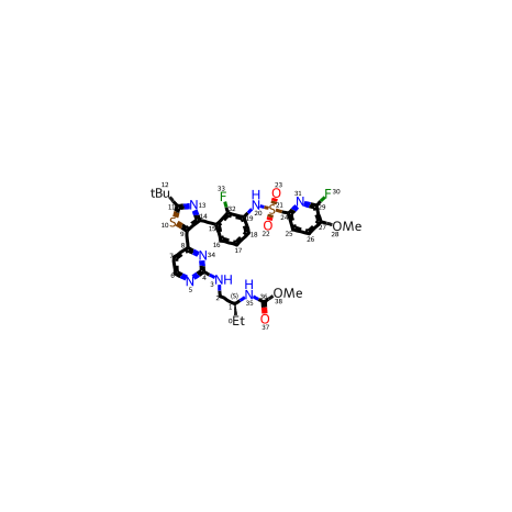 CC[C@@H](CNc1nccc(-c2sc(C(C)(C)C)nc2-c2cccc(NS(=O)(=O)c3ccc(OC)c(F)n3)c2F)n1)NC(=O)OC